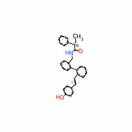 CC[C@@H](C(=O)NCc1ccccc1-c1ccccc1/C=C/c1ccc(O)cc1)c1ccccc1